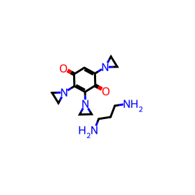 NCCCN.O=C1C=C(N2CC2)C(=O)C(N2CC2)=C1N1CC1